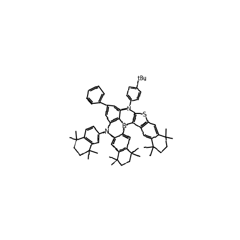 CC(C)(C)c1ccc(N2c3cc(-c4ccccc4)cc4c3B(c3cc5c(cc3N4c3ccc4c(c3)C(C)(C)CCC4(C)C)C(C)(C)CCC5(C)C)c3c2sc2cc4c(cc32)C(C)(C)CCC4(C)C)cc1